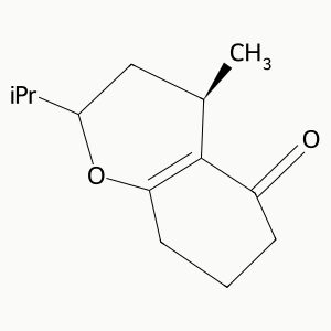 CC(C)C1C[C@@H](C)C2=C(CCCC2=O)O1